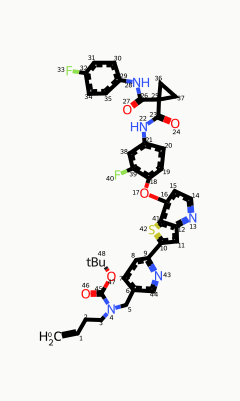 C=CCCN(Cc1ccc(-c2cc3nccc(Oc4ccc(NC(=O)C5(C(=O)Nc6ccc(F)cc6)CC5)cc4F)c3s2)nc1)C(=O)OC(C)(C)C